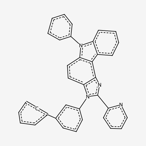 c1ccc(-c2cccc(-n3c(-c4ccccn4)nc4c5c6ccccc6n(-c6ccccc6)c5ccc43)c2)cc1